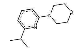 CC(C)c1cccc(N2CCOCC2)n1